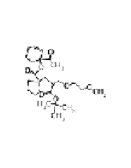 COCCOCC(CC1(C(=O)OC2(C(C)=O)C=CC=CC2)CCCC1)C(=O)OC(C)(C)C